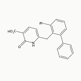 CC(C)c1cccc(-c2ccccc2)c1Cc1ccc(C(=O)O)c(=O)[nH]1